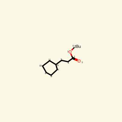 CC(C)(C)OC(=O)CC[C]1CCCCC1